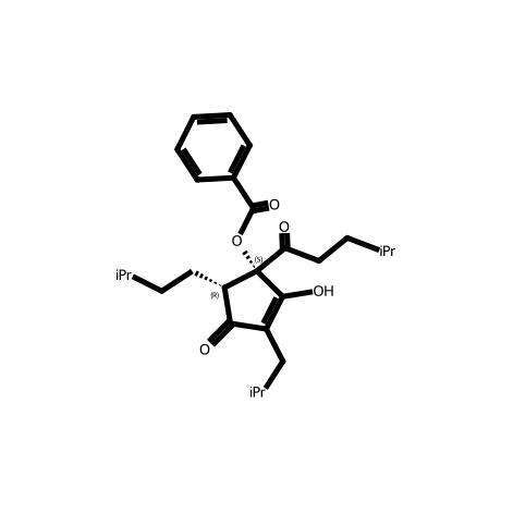 CC(C)CCC(=O)[C@@]1(OC(=O)c2ccccc2)C(O)=C(CC(C)C)C(=O)[C@@H]1CCC(C)C